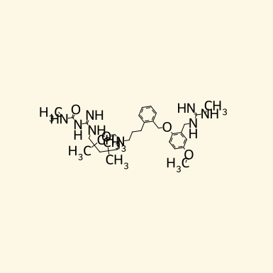 CNC(=N)NCc1cc(OC)ccc1OCc1ccccc1CCCN(C=O)CC(C)(C)CC(C)(C)CNC(=N)NC(=O)NC